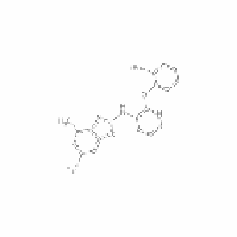 Cc1cc(C)c2nc(Nc3cccnc3Oc3ccccc3C(C)(C)C)sc2c1